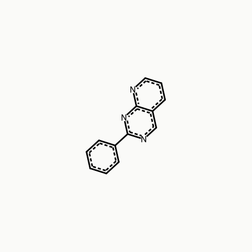 c1ccc(-c2ncc3cccnc3n2)cc1